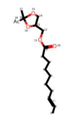 C/C=C/CCCCCCC(=O)OCC1COC(C)(C(C)=O)O1